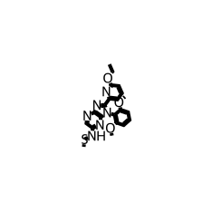 CCOc1cccc(-c2nc3ncc(NSC)nc3n2-c2c(OC)cccc2OC)n1